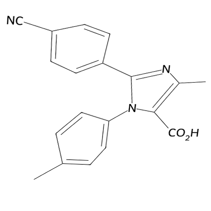 Cc1ccc(-n2c(-c3ccc(C#N)cc3)nc(C)c2C(=O)O)cc1